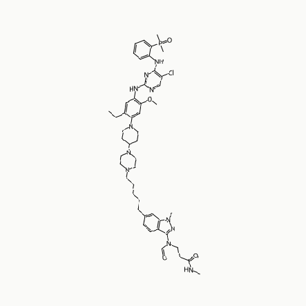 CCc1cc(Nc2ncc(Cl)c(Nc3ccccc3P(C)(C)=O)n2)c(OC)cc1N1CCC(N2CCN(CCCCCc3ccc4c(N(C=O)CCC(=O)NC)nn(C)c4c3)CC2)CC1